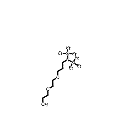 CC[Si](CC)(CC)N(CCCOCCOCCO)[Si](CC)(CC)CC